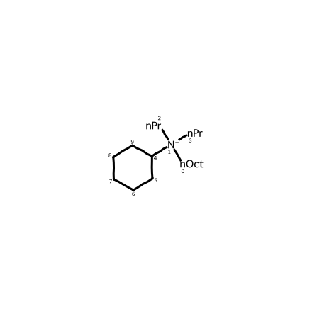 CCCCCCCC[N+](CCC)(CCC)C1CCCCC1